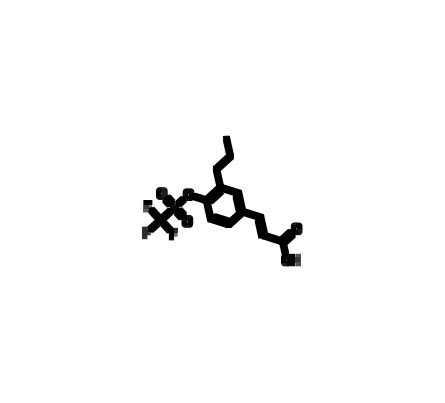 CCCc1cc(C=CC(=O)O)ccc1OS(=O)(=O)C(F)(F)F